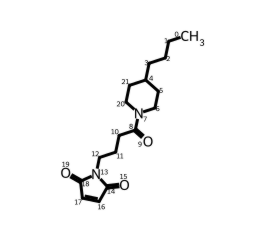 CCCCC1CCN(C(=O)CCCN2C(=O)C=CC2=O)CC1